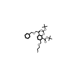 C=C(COCc1ccccc1)c1ccc(COCCF)c(C(=O)OC(C)(C)C)c1OC(=O)OC(C)(C)C